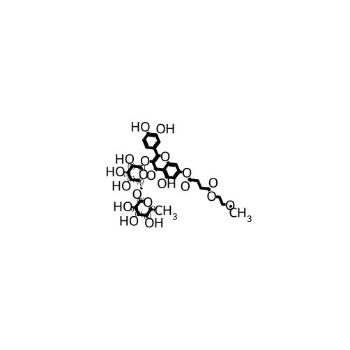 COCCOC(=O)CCC(=O)Oc1cc(O)c2c(=O)c(O[C@@H]3O[C@H](CO[C@@H]4O[C@@H](C)[C@H](O)[C@@H](O)[C@H]4O)[C@@H](O)[C@H](O)[C@H]3O)c(-c3ccc(O)c(O)c3)oc2c1